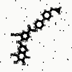 CC[C@@H]1C(=O)N(C)c2ncc(Nc3ccc(C(=O)N[C@H]4CC[C@H](N5CCN(CC6CC6)CC5)CC4)cc3OC)nc2N1C(C)C